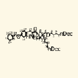 CCCCCCCCCCCCCCOCC(CNC(=O)C(Cc1ccc(OCc2ccccc2)cc1)NC(=O)O)OCCCCCCCCCCCCCC